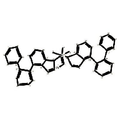 CCC[CH]=[Hf]([CH3])([CH3])([CH3])([CH]1C=Cc2c(-c3ccccc3-c3ccccc3)cccc21)[CH]1C=Cc2c(-c3ccccc3-c3ccccc3)cccc21